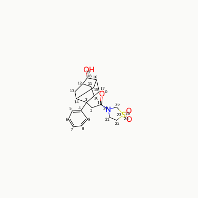 O=C(CC1(c2ccccc2)C2CC3CC1CC(C2)C3O)N1CCS(=O)(=O)C1